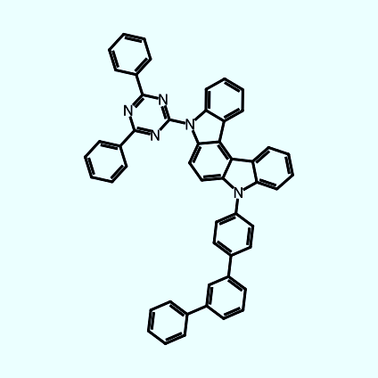 c1ccc(-c2cccc(-c3ccc(-n4c5ccccc5c5c6c7ccccc7n(-c7nc(-c8ccccc8)nc(-c8ccccc8)n7)c6ccc54)cc3)c2)cc1